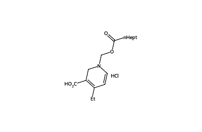 CCCCCCCC(=O)OCN1C=CC(CC)=C(C(=O)O)C1.Cl